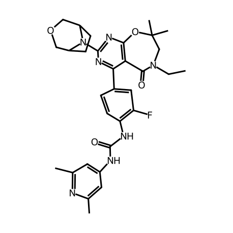 CCN1CC(C)(C)Oc2nc(N3C4CCC3COC4)nc(-c3ccc(NC(=O)Nc4cc(C)nc(C)c4)c(F)c3)c2C1=O